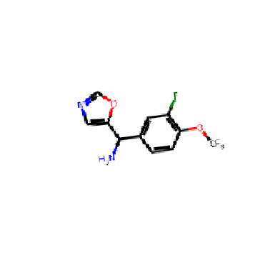 NC(c1ccc(OC(F)(F)F)c(F)c1)c1cnco1